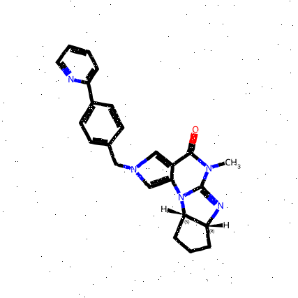 CN1C(=O)c2cn(Cc3ccc(-c4ccccn4)cc3)cc2N2C1=N[C@@H]1CCC[C@@H]12